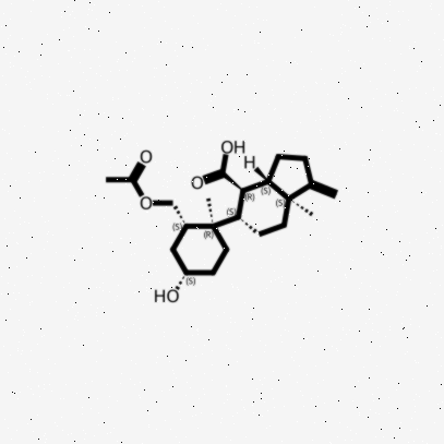 C=C1CC[C@H]2[C@H](C(=O)O)[C@@H]([C@@]3(C)CC[C@H](O)C[C@@H]3COC(C)=O)CC[C@]12C